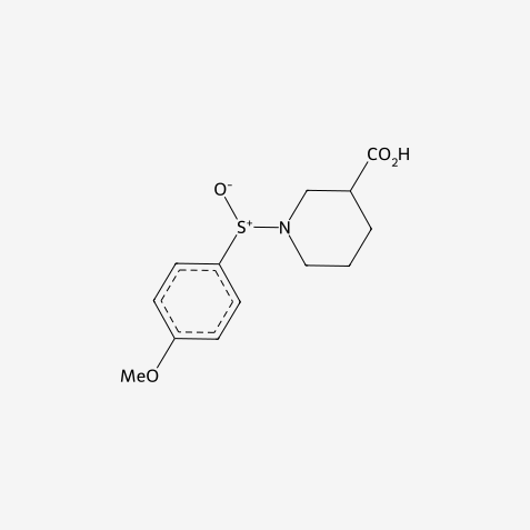 COc1ccc([S+]([O-])N2CCCC(C(=O)O)C2)cc1